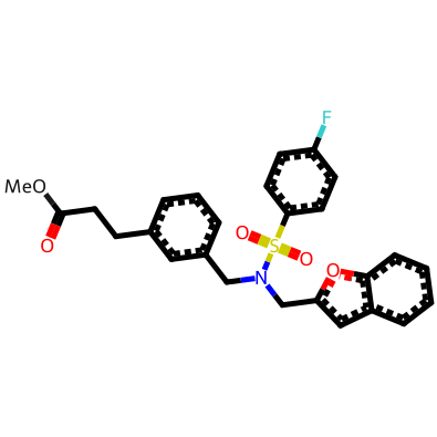 COC(=O)CCc1cccc(CN(Cc2cc3ccccc3o2)S(=O)(=O)c2ccc(F)cc2)c1